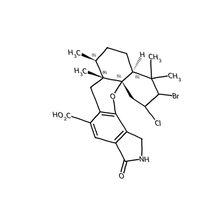 C[C@H]1CC[C@H]2C(C)(C)C(Br)C(Cl)C[C@]23Oc2c(c(C(=O)O)cc4c2CNC4=O)C[C@]13C